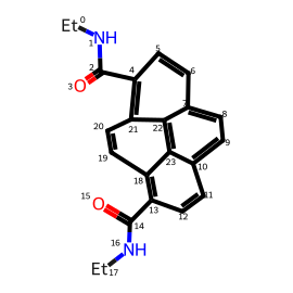 CCNC(=O)c1ccc2ccc3ccc(C(=O)NCC)c4ccc1c2c34